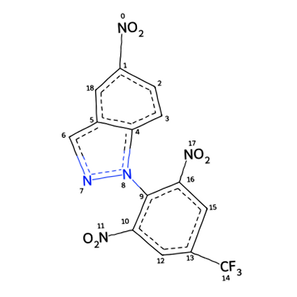 O=[N+]([O-])c1ccc2c(cnn2-c2c([N+](=O)[O-])cc(C(F)(F)F)cc2[N+](=O)[O-])c1